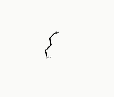 CCCCSCCC(C)CC